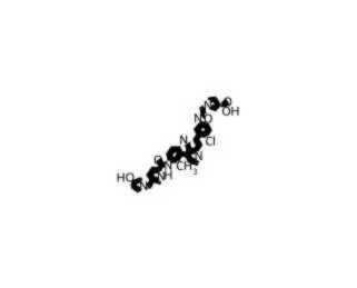 Cc1c(NC(=O)c2ccc(CN3CC[C@@H](O)C3)cn2)cccc1-c1ccnc(/C=C/c2cc3nc(CN4CC[C@H](C(=O)O)C4)oc3cc2Cl)c1C#N